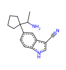 CC(N)C1(c2ccc3[nH]cc(C#N)c3c2)CCCC1